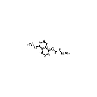 CCCCOc1cccc2c(OCCOC)cccc12